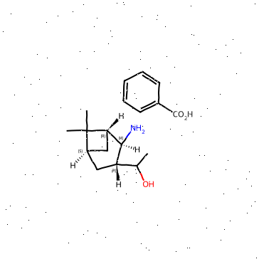 CC(O)[C@@H]1C[C@@H]2C[C@@H]([C@H]1N)C2(C)C.O=C(O)c1ccccc1